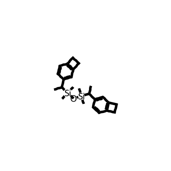 CC(c1ccc2c(c1)CC2)[Si](C)(C)O[Si](C)(C)C(C)c1ccc2c(c1)CC2